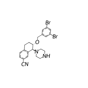 N#Cc1ccc2c(c1)[C@H](N1CCNCC1)[C@@H](OCc1cc(Br)cc(Br)c1)CC2